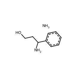 N.NC(CCO)c1ccccc1